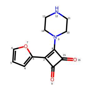 O=c1c(-c2ccco2)c(N2CCNCC2)c1=O